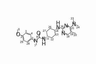 COc1ccc(N(C)C(=O)N[C@H]2CC[C@@H](Nc3ncc(C)c(N(C)C)n3)CC2)cc1